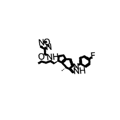 CCCC(C[C@H]1CCC2=C1[C@@H](C)C1=CNN(c3ccc(F)cc3)C1=C2)NC(=O)c1cnon1